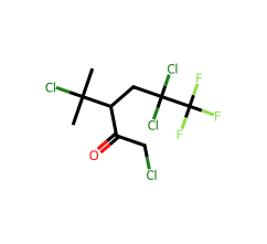 CC(C)(Cl)C(CC(Cl)(Cl)C(F)(F)F)C(=O)CCl